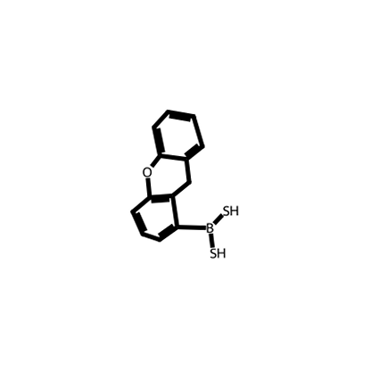 SB(S)c1cccc2c1Cc1ccccc1O2